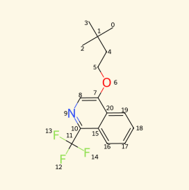 CC(C)(C)CCOc1cnc(C(F)(F)F)c2ccccc12